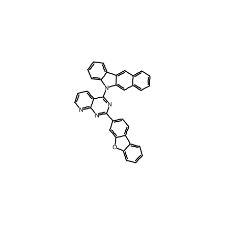 c1ccc2cc3c(cc2c1)c1ccccc1n3-c1nc(-c2ccc3c(c2)oc2ccccc23)nc2ncccc12